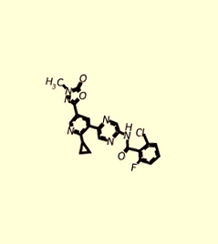 Cn1nc(-c2cnc(C3CC3)c(-c3cnc(NC(=O)c4c(F)cccc4Cl)cn3)c2)oc1=O